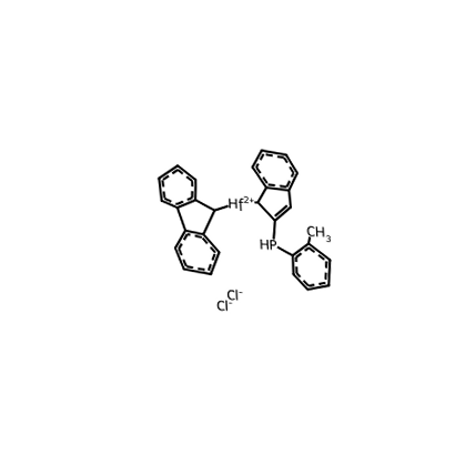 Cc1ccccc1PC1=Cc2ccccc2[CH]1[Hf+2][CH]1c2ccccc2-c2ccccc21.[Cl-].[Cl-]